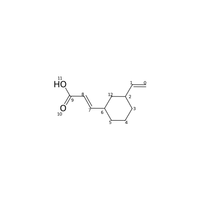 C=CC1CCCC(C=CC(=O)O)C1